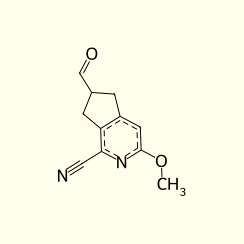 COc1cc2c(c(C#N)n1)CC(C=O)C2